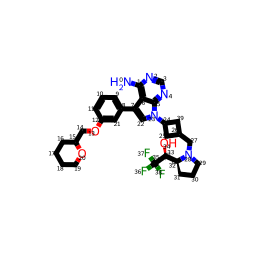 Nc1ncnc2c1c(-c1cccc(OCC3CCCCO3)c1)cn2C1CC(CN2CCC[C@H]2[C@H](O)C(F)(F)F)C1